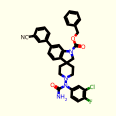 N#Cc1cccc(-c2ccc3c(c2)N(C(=O)OCc2ccccc2)CC32CCN(N(C(N)=O)c3ccc(F)c(Cl)c3)CC2)c1